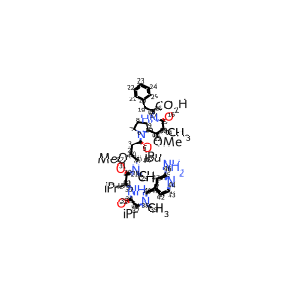 CC[C@H](C)[C@@H]([C@@H](CC(=O)N1CCC[C@H]1[C@H](OC)[C@@H](C)C(=O)N[C@@H](Cc1ccccc1)C(=O)O)OC)N(C)C(=O)[C@@H](NC(=O)[C@H](C(C)C)N(C)Cc1ccnc(N)c1)C(C)C